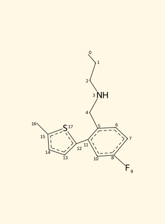 CCCNCc1ccc(F)cc1-c1ccc(C)s1